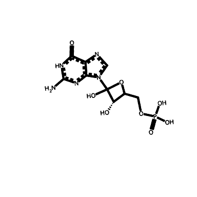 Nc1nc2c(ncn2C2(O)OC(COP(=O)(O)O)[C@@H]2O)c(=O)[nH]1